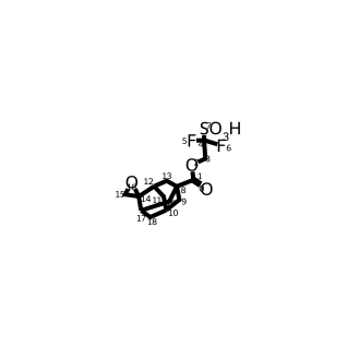 O=C(OCC(F)(F)S(=O)(=O)O)C12CC3CC(C1)C1(CO1)C(C3)C2